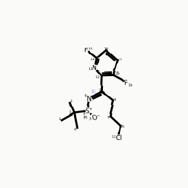 CC(C)(C)[S@+]([O-])/N=C(\CCCCl)c1nc(F)ccc1F